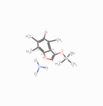 CCN(CC)CC.Cc1c(Br)c(C)c2c(O[Si](C)(C)C(C)(C)C)coc2c1C